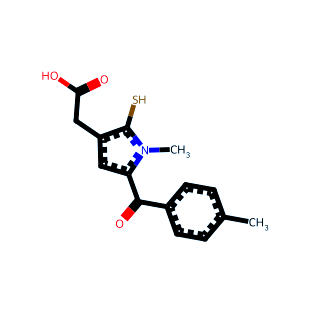 Cc1ccc(C(=O)c2cc(CC(=O)O)c(S)n2C)cc1